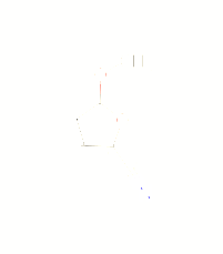 COC1CCC(C#N)O1